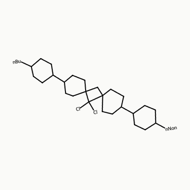 CCCCCCCCCC1CCC(C2CCC3(CC2)CC2(CCC(C4CCC(CCCC)CC4)CC2)C3(Cl)Cl)CC1